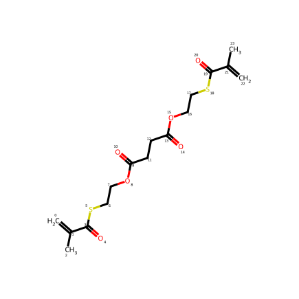 C=C(C)C(=O)SCCOC(=O)CCC(=O)OCCSC(=O)C(=C)C